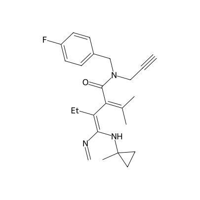 C#CCN(Cc1ccc(F)cc1)C(=O)C(=C(C)C)/C(CC)=C(/N=C)NC1(C)CC1